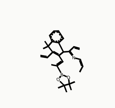 C=CC1=C(/C=C(\C)B2OC(C)(C)C(C)(C)O2)C(/C(C=C)=N/C=C\C)c2ccccc2C1(C)C